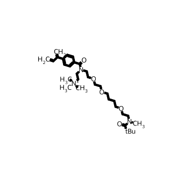 C=CC(=C)c1ccc(C(=O)N(CCOCCOCCCCOCCN(C)C(=O)C(C)(C)C)CC[N+](C)(C)C)cc1